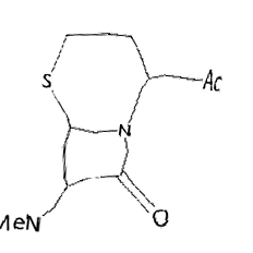 CNC1C(=O)N2C(C(C)=O)CCSC12